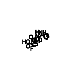 NC(C(=O)N[C@@H]1C(=O)N2C(C(=O)O)=C(F)CS[C@H]12)C1=CCC=CC1